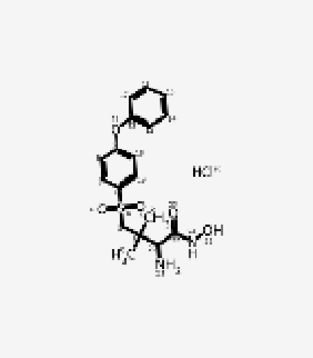 CC(C)(CS(=O)(=O)c1ccc(Oc2ccccc2)cc1)C(N)C(=O)NO.Cl